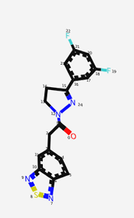 O=C(Cc1ccc2nsnc2c1)N1CCC(c2cc(F)cc(F)c2)=N1